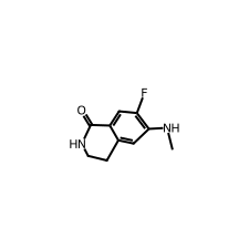 CNc1cc2c(cc1F)C(=O)NCC2